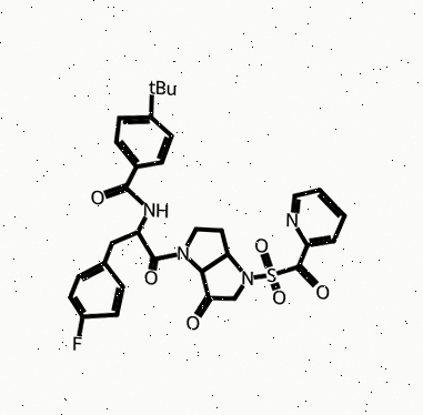 CC(C)(C)c1ccc(C(=O)NC(Cc2ccc(F)cc2)C(=O)N2CCC3C2C(=O)CN3S(=O)(=O)C(=O)c2ccccn2)cc1